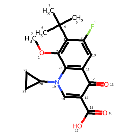 COc1c(C(C)(C)C)c(F)cc2c(=O)c(C(=O)O)cn(C3CC3)c12